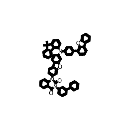 CC1(C)c2ccccc2-c2c(N(c3ccc(-c4cccc5c4oc4ccccc45)cc3)c3ccc4c(c3)oc3cc(-n5c(=O)n(-c6cccc(-c7ccccc7)c6)c(=O)c6ccccc65)ccc34)cccc21